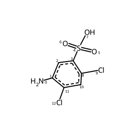 Nc1cc(S(=O)(=O)O)c(Cl)cc1Cl